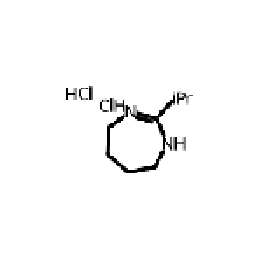 CC(C)C1=NCCCCN1.Cl.Cl